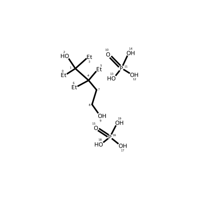 CCC(O)(CC)C(CC)(CC)CCO.O=P(O)(O)O.O=P(O)(O)O